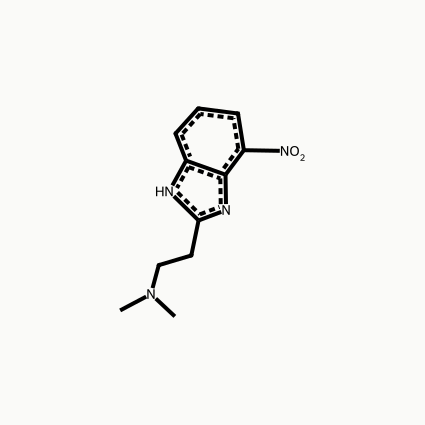 CN(C)CCc1nc2c([N+](=O)[O-])cccc2[nH]1